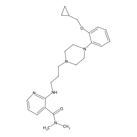 CN(C)C(=O)c1cccnc1NCCCN1CCN(c2ccccc2OCC2CC2)CC1